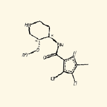 CCCO[C@@H]1CNCC[C@H]1NC(=O)c1[nH]c(C)c(Cl)c1Cl